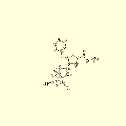 CC(C)(C)OC(=O)C1CN(Cc2ccccc2)C(B2OC3[C@@H]4C[C@H](C[C@]3(C)O2)C4(C)C)N1